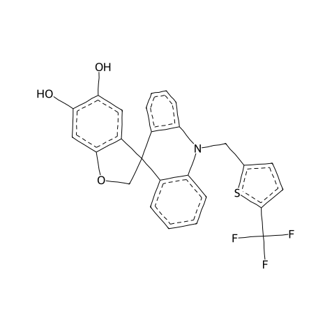 Oc1cc2c(cc1O)C1(CO2)c2ccccc2N(Cc2ccc(C(F)(F)F)s2)c2ccccc21